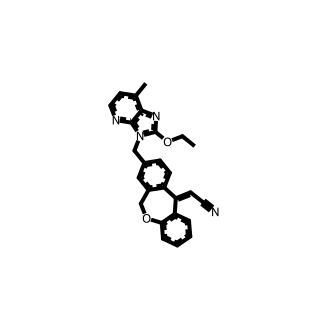 CCOc1nc2c(C)ccnc2n1Cc1ccc2c(c1)COc1ccccc1C2=CC#N